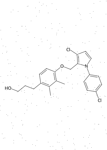 Cc1c(CCCO)ccc(OCc2c(Cl)ccn2-c2ccc(Cl)cc2)c1C